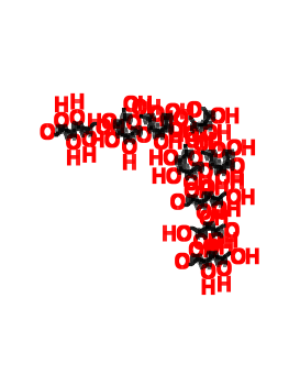 O=C[C@@H](O)[C@@H](O)[C@H](O)[C@H](O)CO.O=C[C@@H](O)[C@H](O)[C@H](O)CO.O=C[C@H](O)[C@@H](O)[C@@H](O)[C@H](O)CO.O=C[C@H](O)[C@@H](O)[C@H](O)[C@H](O)CO.OC1OC[C@@H](O)[C@H](O)[C@H]1O.OC[C@H]1O[C@@H](O[C@H]2[C@H](O)[C@@H](O)[C@H](O)O[C@@H]2CO)[C@H](O)[C@@H](O)[C@@H]1O.OC[C@H]1O[C@@H](O[C@H]2[C@H](O)[C@@H](O)[C@H](O)O[C@@H]2CO)[C@H](O)[C@@H](O)[C@H]1O